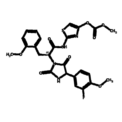 COC(=O)Oc1csc(NC(=O)[C@H](Cc2ccccc2OC)N2C(=O)NC(c3ccc(OC)c(F)c3)C2=O)n1